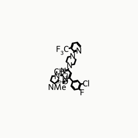 CNC(=O)[C@@H]1CCC[N+]1(C)c1nc(-c2ccc(F)c(Cl)c2)cc(N2CCN(c3ncccc3C(F)(F)F)CC2)n1